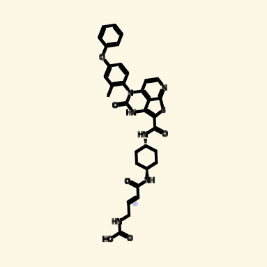 Cc1cc(Oc2ccccc2)ccc1N1C(=O)Nc2c(C(=O)N[C@H]3CC[C@H](NC(=O)/C=C/CNC(=O)O)CC3)sc3nccc1c23